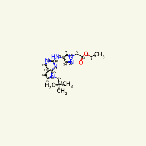 CCOC(=O)Cn1cc(Nc2ncc3ccn(CC(C)(C)C)c3n2)cn1